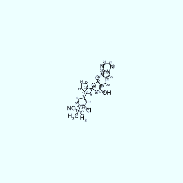 CC(C)(C#N)c1ccc(CCC2(C3CCCC3)CC(O)=C(Cc3cn4nccnc4n3)C(=O)O2)cc1Cl